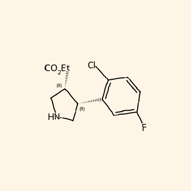 CCOC(=O)[C@H]1CNC[C@H]1c1cc(F)ccc1Cl